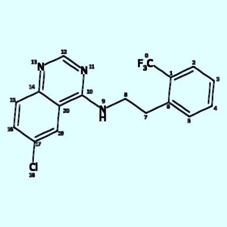 FC(F)(F)c1ccccc1CCNc1ncnc2ccc(Cl)cc12